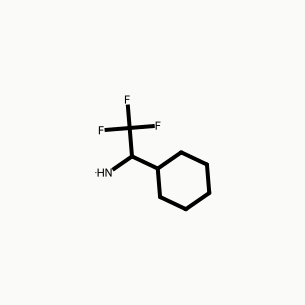 [NH]C(C1CCCCC1)C(F)(F)F